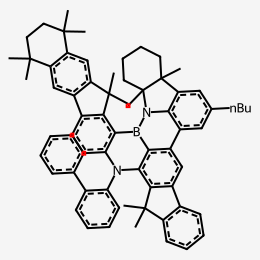 CCCCc1cc2c3c(c1)C1(C)CCCCC1(C)N3B1c3c-2cc2c(c3N(c3ccccc3-c3ccccc3)c3ccc4c(c31)C(C)(C)c1cc3c(cc1-4)C(C)(C)CCC3(C)C)C(C)(C)c1ccccc1-2